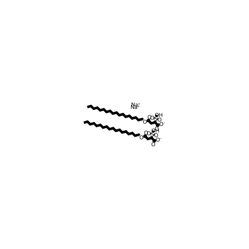 CCCCCCCCCCCCCCCCCCOC(=O)CC(C(=O)[O-])S(=O)(=O)O.CCCCCCCCCCCCCCCCCCOC(=O)CC(C(=O)[O-])S(=O)(=O)O.[Na+].[Na+]